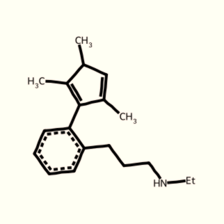 CCNCCCc1ccccc1C1=C(C)C(C)C=C1C